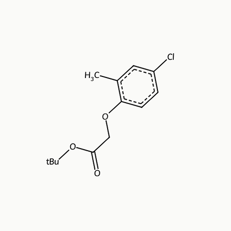 Cc1cc(Cl)ccc1OCC(=O)OC(C)(C)C